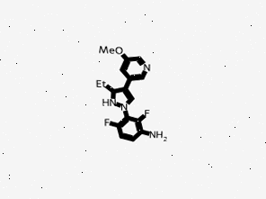 CCC1NN(c2c(F)ccc(N)c2F)C=C1c1cncc(OC)c1